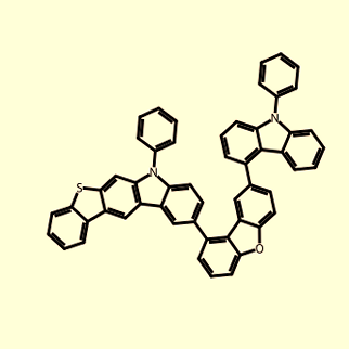 c1ccc(-n2c3ccc(-c4cccc5oc6ccc(-c7cccc8c7c7ccccc7n8-c7ccccc7)cc6c45)cc3c3cc4c(cc32)sc2ccccc24)cc1